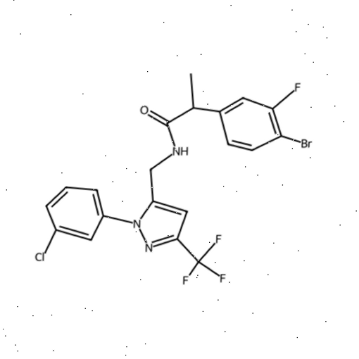 CC(C(=O)NCc1cc(C(F)(F)F)nn1-c1cccc(Cl)c1)c1ccc(Br)c(F)c1